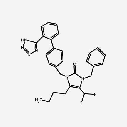 CCCCc1c(C(F)F)n(Cc2ccccc2)c(=O)n1Cc1ccc(-c2ccccc2-c2nnn[nH]2)cc1